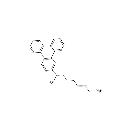 CN(CCCCOCC(=O)O)c1ncc(-c2ccccc2)c(-c2ccccc2)n1